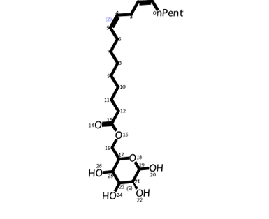 CCCCC/C=C\C/C=C\CCCCCCCC(=O)OCC1OC(O)[C@@H](O)C(O)C1O